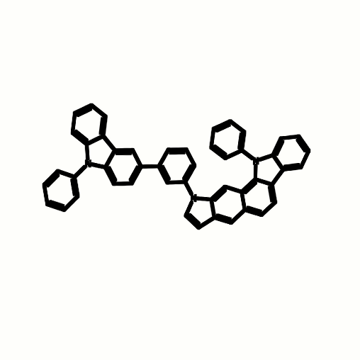 c1ccc(-n2c3ccccc3c3cc(-c4cccc(-n5ccc6cc7ccc8c9ccccc9n(-c9ccccc9)c8c7cc65)c4)ccc32)cc1